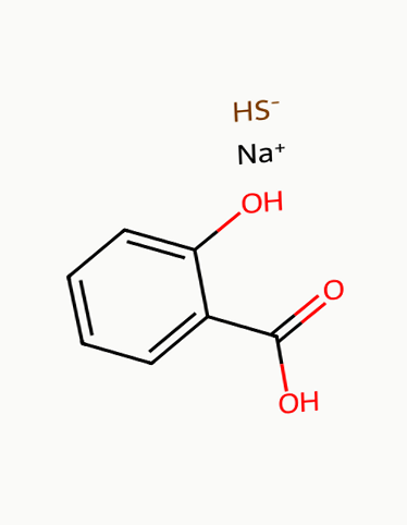 O=C(O)c1ccccc1O.[Na+].[SH-]